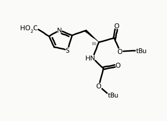 CC(C)(C)OC(=O)N[C@@H](Cc1nc(C(=O)O)cs1)C(=O)OC(C)(C)C